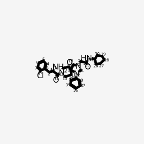 N[C@H](Cc1ccccc1Cl)C(=O)N1CCC2(CC1)C(=O)N(CC(=O)NC1CCCCC1)CN2c1ccccc1